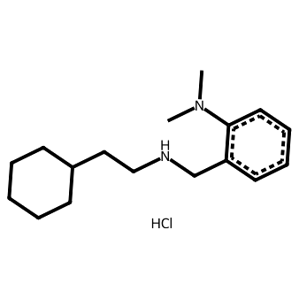 CN(C)c1ccccc1CNCCC1CCCCC1.Cl